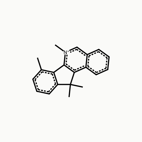 Cc1cccc2c1-c1c(c3ccccc3c[n+]1C)C2(C)C